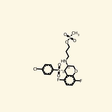 CS(=O)(=O)OCCCN[C@H]1COc2c(F)ccc(F)c2[C@@H]1S(=O)(=O)c1ccc(Cl)cc1